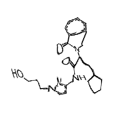 O=C(Nc1ccn(CCCO)n1)C(CC1CCCC1)N1Cc2ccccc2C1=O